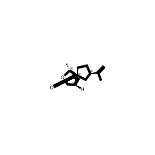 C=C(C)[C@@H]1CC[C@@]2(C1)[C@H]1CO[C@]2(C)CC(=O)C1